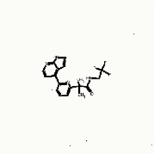 CC(C)(C(=O)NCC(F)(F)F)c1cccc(-c2ccnc3[nH]ccc23)n1